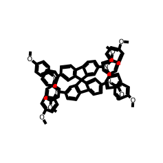 COc1ccc(N(c2ccccc2)c2ccc3c(c2)C2(c4cc(N(c5ccc(OC)cc5)c5ccc(OC)cc5)ccc4-3)c3cc(N(c4ccc(OC)cc4)c4ccc(OC)cc4)ccc3-c3ccc(N(c4ccc(OC)cc4)c4ccc(OC)cc4)cc32)cc1